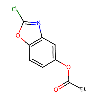 CCC(=O)Oc1ccc2oc(Cl)nc2c1